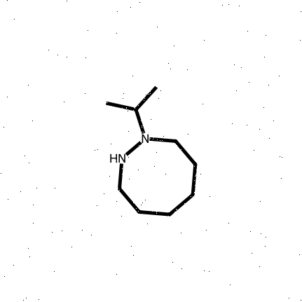 CC(C)N1CCCCCCN1